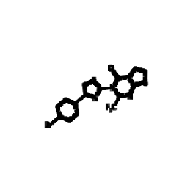 O=c1c2ccsc2nc(C(F)(F)F)n1-c1nc(-c2ccc(Br)cc2)cs1